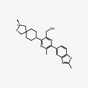 Cc1nc2cc(-c3nc(CO)c(N4CCC5(CC4)CO[C@@H](C)C5)nc3C)ccc2o1